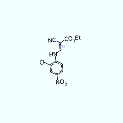 CCOC(=O)/C(C#N)=C/Nc1ccc([N+](=O)[O-])cc1Cl